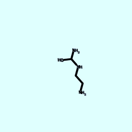 NCCNC(N)O